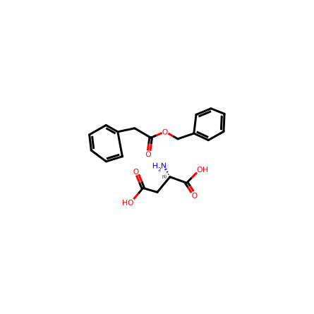 N[C@@H](CC(=O)O)C(=O)O.O=C(Cc1ccccc1)OCc1ccccc1